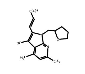 Cc1cc(C)c2c(C#N)c(C=CC(=O)O)n(CC3CCCO3)c2n1